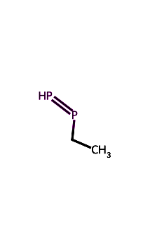 CCP=P